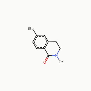 CCN1CCc2cc(C(C)(C)C)ccc2C1=O